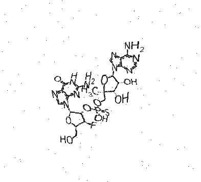 C[C@]1(COP(O)(=S)O[C@@H]2[C@@H](F)[C@@H](CO)O[C@H]2n2cnc3c(=O)[nH]c(N)nc32)O[C@@H](n2cnc3c(N)ncnc32)[C@H](O)[C@@H]1O